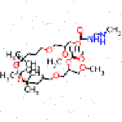 CNCNC(=O)OCC(COCCC[Si](C)(C)O[Si](C)(C)O[Si](C)(C)CCCOCC(COC)OC(C)=O)OC